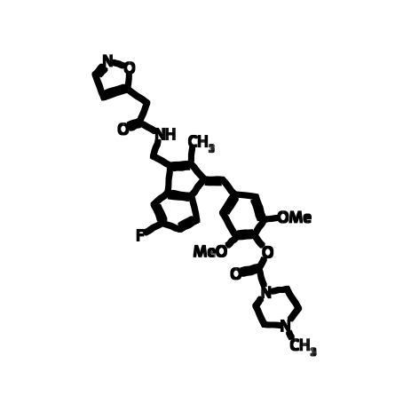 COc1cc(/C=C2/C(C)=C(CNC(=O)Cc3ccno3)c3cc(F)ccc32)cc(OC)c1OC(=O)N1CCN(C)CC1